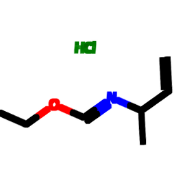 C=CC(C)N=COCC.Cl